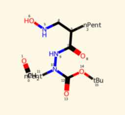 C=O.CCCCCC(CNO)C(=O)NN(CCCCC)C(=O)OC(C)(C)C